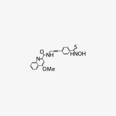 COc1cc(C(=O)NCC#Cc2ccc(C(=S)NO)cc2)nc2ccccc12